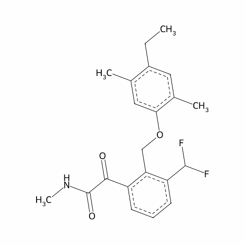 CCc1cc(C)c(OCc2c(C(=O)C(=O)NC)cccc2C(F)F)cc1C